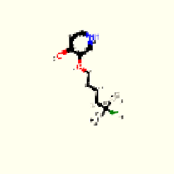 O=c1cc[nH]cc1OCCCCC(F)(C(F)(F)F)C(F)(F)F